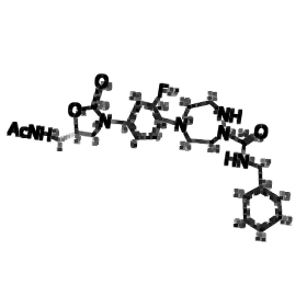 CC(=O)NC[C@H]1CN(c2ccc(N3CCNN(C(=O)NCc4ccccc4)CC3)c(F)c2)C(=O)O1